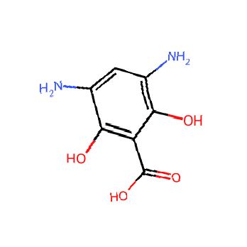 Nc1cc(N)c(O)c(C(=O)O)c1O